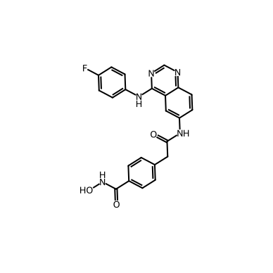 O=C(Cc1ccc(C(=O)NO)cc1)Nc1ccc2ncnc(Nc3ccc(F)cc3)c2c1